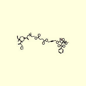 C=C[C@]1(C)CC[C@@H](C(=C)CN(C)CCOC(=O)CCC(=O)OCC#CCOc2no[n+]([O-])c2S(=O)(=O)c2ccccc2)C[C@H]1C(=C)CCl